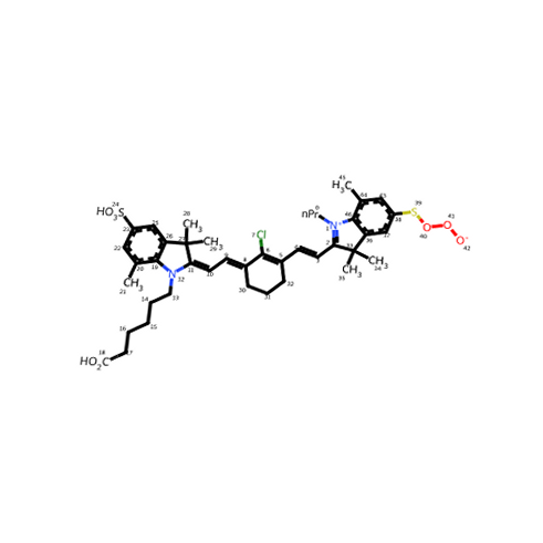 CCC[N+]1=C(/C=C/C2=C(Cl)C(=C/C=C3/N(CCCCCC(=O)O)c4c(C)cc(S(=O)(=O)O)cc4C3(C)C)/CCC2)C(C)(C)c2cc(SOO[O-])cc(C)c21